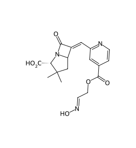 CC1(C)CC2/C(=C\c3cc(C(=O)OC/C=N/O)ccn3)C(=O)N2[C@H]1C(=O)O